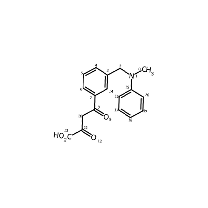 CN(Cc1cccc(C(=O)CC(=O)C(=O)O)c1)c1ccccc1